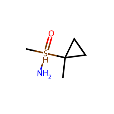 CC1([SH](C)(N)=O)CC1